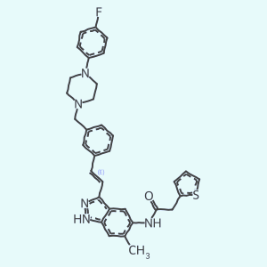 Cc1cc2[nH]nc(/C=C/c3cccc(CN4CCN(c5ccc(F)cc5)CC4)c3)c2cc1NC(=O)Cc1cccs1